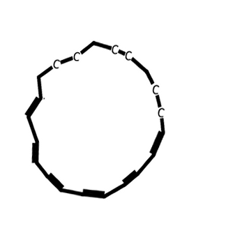 [C]1=C/C=C/C=C\C=C/C=C\C=C\CCCCCCCCC/1